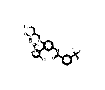 CCC(COc1ccc(NC(=O)c2cccc(C(F)(F)F)c2)cc1-c1c(Cl)cnn1C)[N+](=O)[O-]